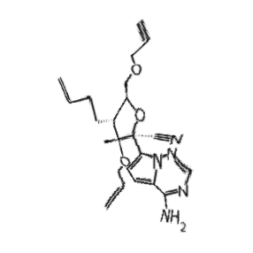 C=CCC[C@@H]1[C@@H](COCC=C)O[C@@](C#N)(c2ccc3c(N)ncnn23)[C@]1(C)OCC=C